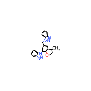 C=C1CCOc2c1cc(Cn1nnc3ccccc31)cc2-n1nnc2ccccc21